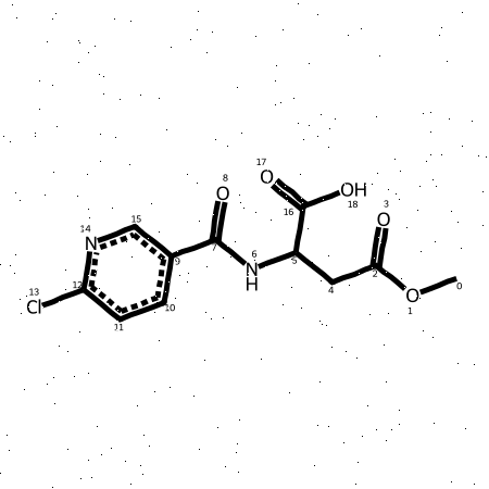 COC(=O)CC(NC(=O)c1ccc(Cl)nc1)C(=O)O